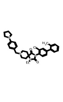 CCN1C(=O)N(c2ccc(-c3ccccc3C)cc2Cl)C(=O)C12CCN(Cc1ccc(N3CCCC3)cc1)CC2